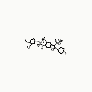 C=Cc1ccc(CS(=O)(=O)Nc2cc3oc(-c4ccc(F)cc4)c(C(=O)NC)c3cc2C2CC2)cc1Cl